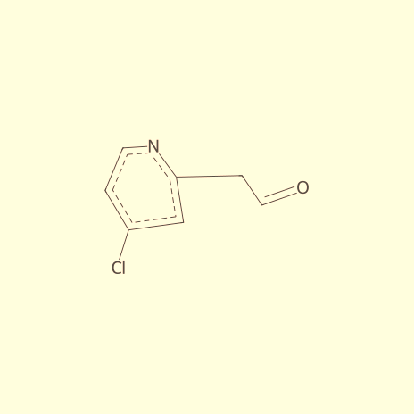 O=CCc1cc(Cl)ccn1